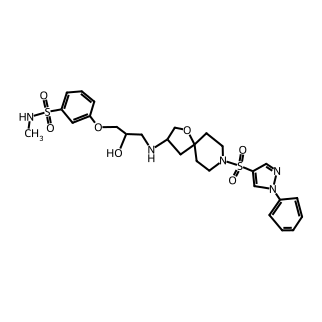 CNS(=O)(=O)c1cccc(OCC(O)CNC2COC3(CCN(S(=O)(=O)c4cnn(-c5ccccc5)c4)CC3)C2)c1